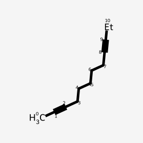 CC#CCC[CH]CCC#CCC